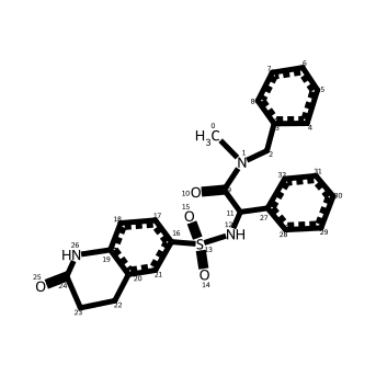 CN(Cc1ccccc1)C(=O)C(NS(=O)(=O)c1ccc2c(c1)CCC(=O)N2)c1ccccc1